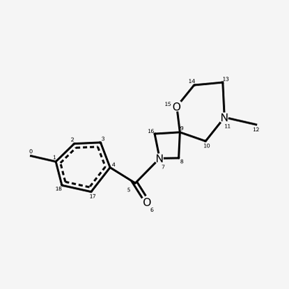 Cc1ccc(C(=O)N2CC3(CN(C)CCO3)C2)cc1